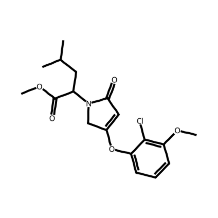 COC(=O)C(CC(C)C)N1CC(Oc2cccc(OC)c2Cl)=CC1=O